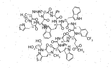 CC[C@H](C)[C@H](NC(=O)[C@H](Cc1cscn1)N(C)C(=O)[C@H](C)NC(C)=O)C(=O)N1CCC[C@H]1C(=O)NC(C(=O)N[C@H](Cc1c[nH]c2ccccc12)C(=O)N[C@H](Cc1c[nH]c2ccccc12)C(=O)N[C@H](Cc1ccc(C(F)(F)F)cc1)C(=O)N[C@@H](CCS(C)(=O)=O)C(=O)N[C@@H](C(=O)NC(=O)N[C@@H](Cc1c[nH]c2ccccc12)C(=O)N(C)[C@@H](Cc1cscn1)C(=O)N[C@@H](CO)C(=O)O)C(C)C)C(C)C